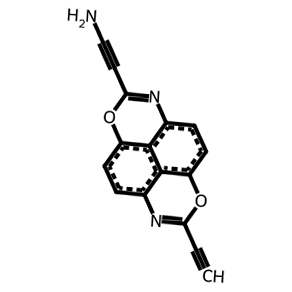 C#CC1=Nc2ccc3c4c(ccc(c24)O1)N=C(C#CN)O3